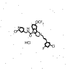 Cl.O=C(NCc1ccnc(Cl)c1)n1c2c(c3cc(OC(F)(F)F)ccc31)CN(C/C=C/c1cc(F)cc(Cl)c1)CC2